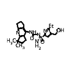 CCn1nc([S@@](N)(=O)=NC(=O)Nc2c3c(nc4c2CCC4(C)C)CCC3)cc1CO